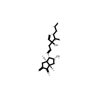 C=CC(O)(C/C=C/[C@H]1[C@@H]2CC(=C)C(=O)[C@H]2C[C@H]1O)C(C)CCCC